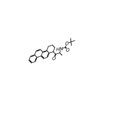 CC(NC(=O)OC(C)(C)C)C(=O)C1CCCc2c1ccc1c2ccc2ccccc21